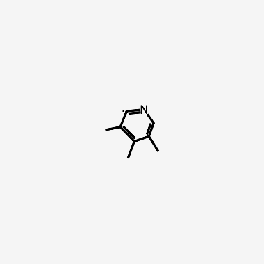 Cc1[c]ncc(C)c1C